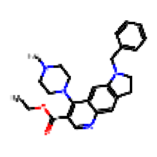 CCOC(=O)c1cnc2cc3c(cc2c1N1CCN(C)CC1)N(Cc1ccccc1)CC3